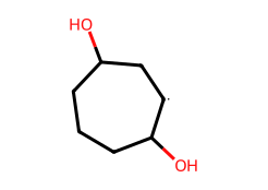 OC1[CH]CC(O)CCC1